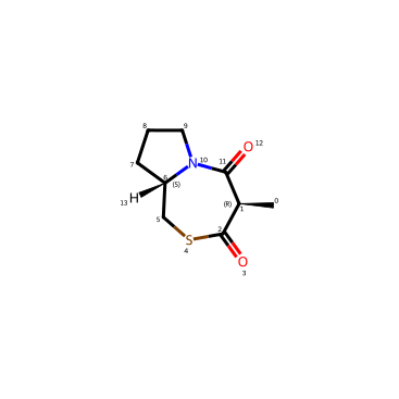 C[C@H]1C(=O)SC[C@@H]2CCCN2C1=O